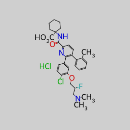 Cc1ccccc1-c1ccc(C(=O)NC2(C(=O)O)CCCCC2)nc1-c1ccc(Cl)c(OCC(F)CN(C)C)c1.Cl